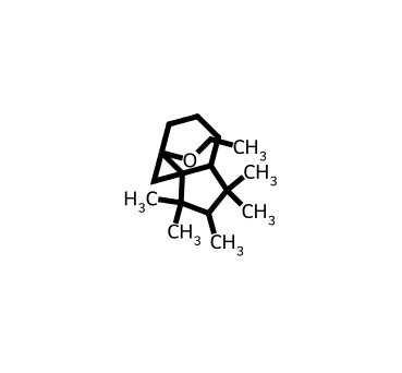 CCOC12CCCC3C(C)(C)C(C)C(C)(C)C31C2